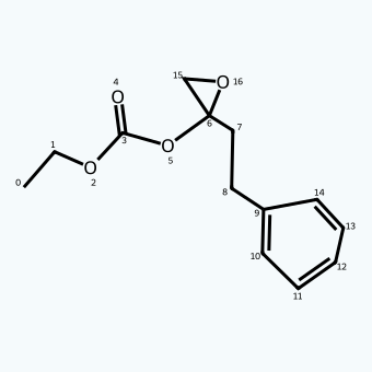 CCOC(=O)OC1(CCc2ccccc2)CO1